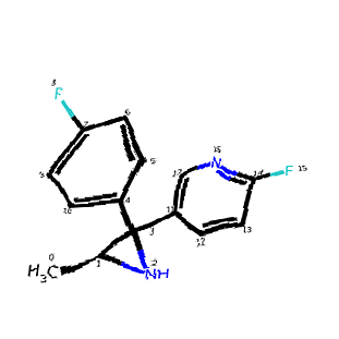 C[C@@H]1NC1(c1ccc(F)cc1)c1ccc(F)nc1